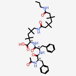 CCCNC(=O)CC(C)(C)CC(C)(C)CC(=O)NCC(C)(C)CC(C)(C)[C@@H](NC(=O)[C@@H](Cc1ccccc1)NC(=O)[C@@H](Cc1ccccc1)NC(C)=O)C(=O)O